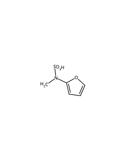 CN(c1ccco1)S(=O)(=O)O